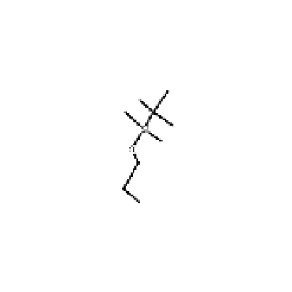 CCCO[Si](C)(C)C(C)(C)C